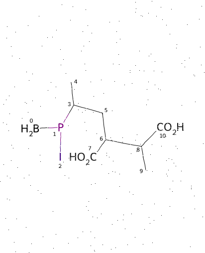 BP(I)C(C)CC(C(=O)O)C(C)C(=O)O